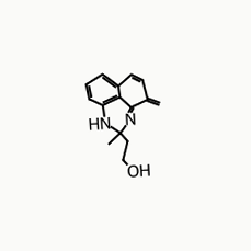 C=c1ccc2cccc3c2c1=NC(C)(CCO)N3